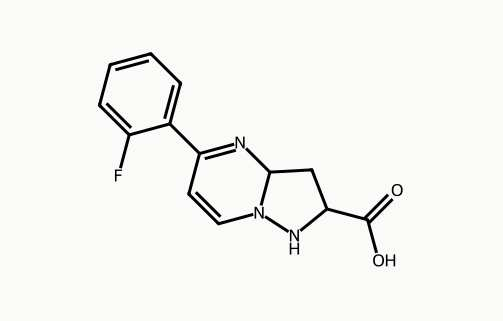 O=C(O)C1CC2N=C(c3ccccc3F)C=CN2N1